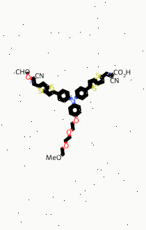 COCCOCCOCCOc1ccc(N(c2ccc(-c3cc4sc(/C=C(\C#N)OC=O)cc4s3)cc2)c2ccc(-c3cc4sc(/C=C(\C#N)C(=O)O)cc4s3)cc2)cc1